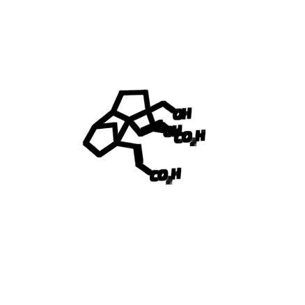 O=C(O)C=CC12CCC(C1)C1CCC(CO)(CO)C12C=CC(=O)O